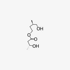 C[C@@H](CO)CCOC(=O)C[C@@H](C)O